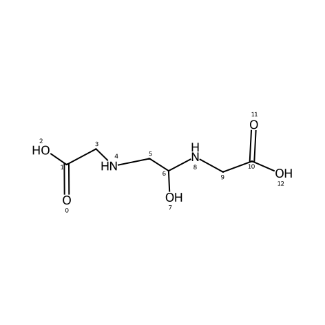 O=C(O)CNCC(O)NCC(=O)O